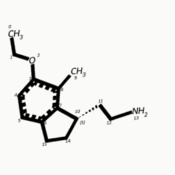 CCOc1ccc2c(c1C)[C@H](CCN)CC2